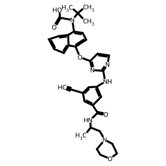 C#Cc1cc(Nc2nccc(Oc3ccc(N(C(=O)O)C(C)(C)C)c4ccccc34)n2)cc(C(=O)NC(C)CN2CCOCC2)c1